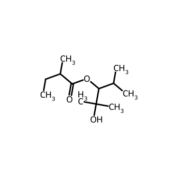 CCC(C)C(=O)OC(C(C)C)C(C)(C)O